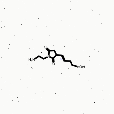 CCCCCCCCCC/C=C/C1CC(=O)N(CCN)C1=O